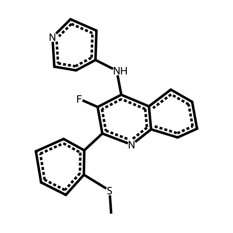 CSc1ccccc1-c1nc2ccccc2c(Nc2ccncc2)c1F